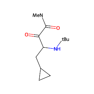 CNC(=O)C(=O)C(CC1CC1)NC(C)(C)C